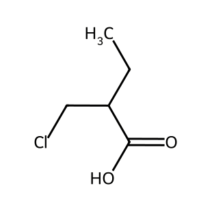 CCC(CCl)C(=O)O